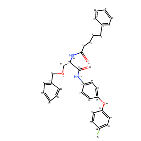 O=C(CCCCc1ccccc1)N[C@@H](COCc1ccccc1)C(=O)Nc1ccc(Oc2ccc(F)cc2)cc1